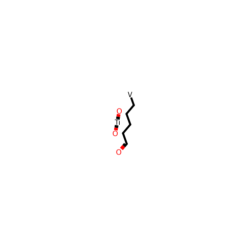 O=CCCC[CH2][V].[O]=[Ti]=[O]